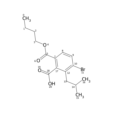 CCCCOC(=O)c1ccc(Br)c(CC(C)C)c1C(=O)O